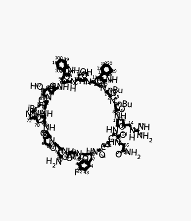 CCCC[C@H]1C(=O)N(C)[C@@H](CCCC)C(=O)N[C@@H](CCCNC(=N)N)C(=O)N[C@H](C(=O)NCC(N)=O)CSCC(=O)N[C@@H](Cc2ccc(F)cc2)C(=O)N(C)[C@@H](C)C(=O)N[C@@H](CC(N)=O)C(=O)N2CCC[C@H]2C(=O)N[C@@H](Cc2cnc[nH]2)C(=O)N[C@@H](CC(C)C)C(=O)N2C[C@H](O)C[C@H]2C(=O)N[C@@H](Cc2c[nH]c3ccccc23)C(=O)N[C@@H](CO)C(=O)N[C@@H](Cc2c[nH]c3ccccc23)C(=O)N1C